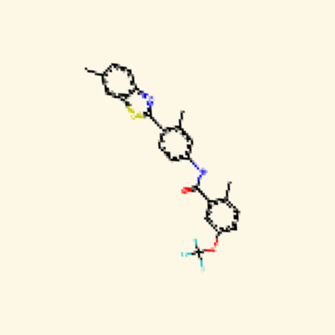 Cc1ccc2nc(-c3ccc(NC(=O)c4cc(OC(F)(F)F)ccc4C)cc3C)sc2c1